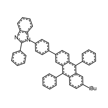 CCC(C)c1ccc2c(-c3ccccc3)c3cc(-c4ccc(-n5c(-c6ccccc6)nc6ccccc65)cc4)ccc3c(-c3ccccc3)c2c1